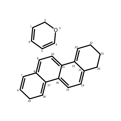 C1=CCOC=C1.C1=Cc2ccc3c4c(ccc3c2=CC1)CCCC=4